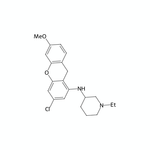 CCN1CCCC(Nc2cc(Cl)cc3c2Cc2ccc(OC)cc2O3)C1